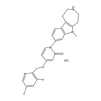 Cl.Cn1c2c(c3ccc(-n4ccc(OCc5ncc(F)cc5F)cc4=O)cc31)CCNCC2